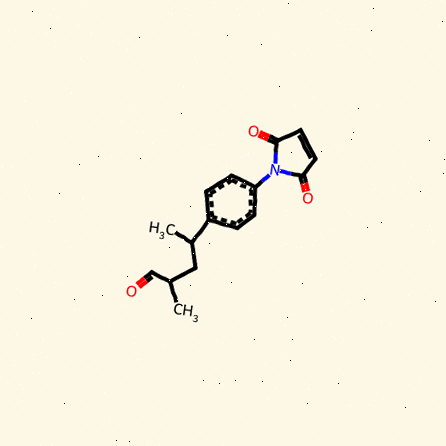 CC(C=O)CC(C)c1ccc(N2C(=O)C=CC2=O)cc1